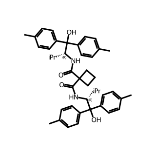 Cc1ccc(C(O)(c2ccc(C)cc2)[C@H](NC(=O)C2(C(=O)N[C@H](C(C)C)C(O)(c3ccc(C)cc3)c3ccc(C)cc3)CCC2)C(C)C)cc1